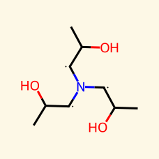 CC(O)[CH]N([CH]C(C)O)[CH]C(C)O